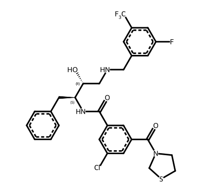 O=C(N[C@@H](Cc1ccccc1)[C@H](O)CNCc1cc(F)cc(C(F)(F)F)c1)c1cc(Cl)cc(C(=O)N2CCSC2)c1